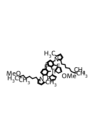 COC(C)(C)CCCCCc1ccc(C)n1-c1ccc(F)[c]([Ti]([C]2=CC=CC2)([C]2=CC=CC2)[c]2c(F)ccc(-n3c(C)ccc3CCCCCC(C)(C)OC)c2F)c1F